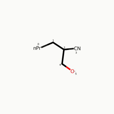 CCCCC(C#N)C[O]